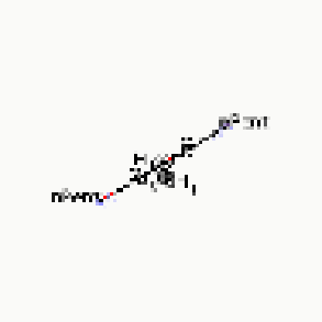 CCCCC/C=C\C/C=C/CCCCCCCC(=O)OCCCCOc1cc(CN(C)C)cc(OCCCCOC(=O)CCCCCCC/C=C/C/C=C\CCCCC)c1C